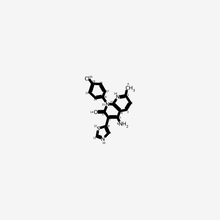 Cc1ccc2c(N)c(-c3cncs3)c(=O)n(-c3ccc(Cl)cc3)c2n1